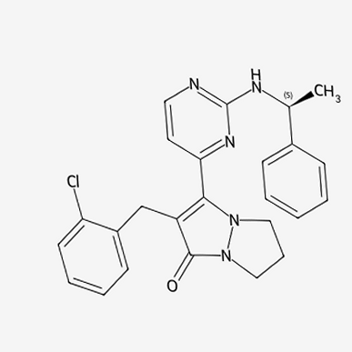 C[C@H](Nc1nccc(-c2c(Cc3ccccc3Cl)c(=O)n3n2CCC3)n1)c1ccccc1